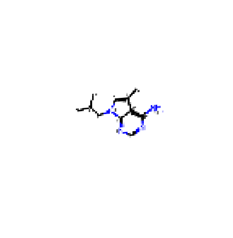 Cc1cn(CC(C)C)c2ncnc(N)c12